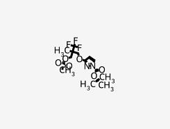 CC(C)(C)OC(=O)n1ccc(OCC(C)(COS(C)(=O)=O)C(F)(F)F)n1